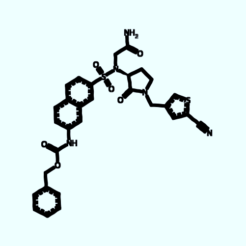 N#Cc1cc(CN2CC[C@H](N(CC(N)=O)S(=O)(=O)c3ccc4ccc(NC(=O)OCc5ccccc5)cc4c3)C2=O)cs1